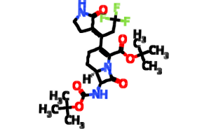 CC(C)(C)OC(=O)N[C@@H]1C(=O)N2C(C(=O)OC(C)(C)C)=C(C(CC(F)(F)F)=C3CCNC3=O)CC[C@H]12